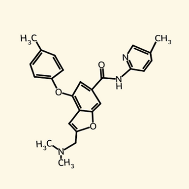 Cc1ccc(Oc2cc(C(=O)Nc3ccc(C)cn3)cc3oc(CN(C)C)cc23)cc1